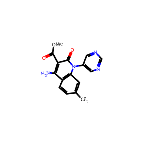 COC(=O)c1c(N)c2ccc(C(F)(F)F)cc2n(-c2cncnc2)c1=O